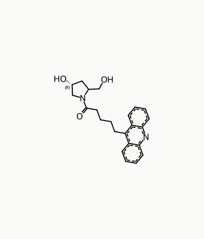 O=C(CCCCc1c2ccccc2nc2ccccc12)N1C[C@H](O)CC1CO